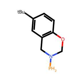 CC(C)(C)c1ccc2c(c1)CN(P)CO2